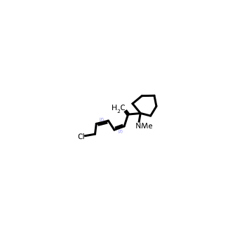 C=C(/C=C\C=C/CCl)C1(NC)CCCCC1